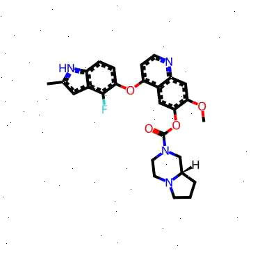 COc1cc2nccc(Oc3ccc4[nH]c(C)cc4c3F)c2cc1OC(=O)N1CCN2CCC[C@H]2C1